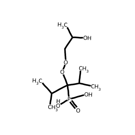 CC(O)COOC(C(C)C)(C(C)C)P(=O)(O)O